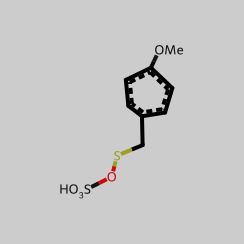 COc1ccc(CSOS(=O)(=O)O)cc1